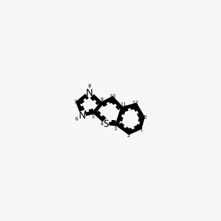 c1ccc2sc3ncnc-3cc2c1